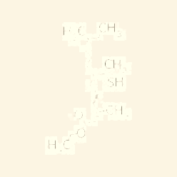 CCOC(=O)C=C(C)C=CCC(CCCC(C)CC)C(C)S